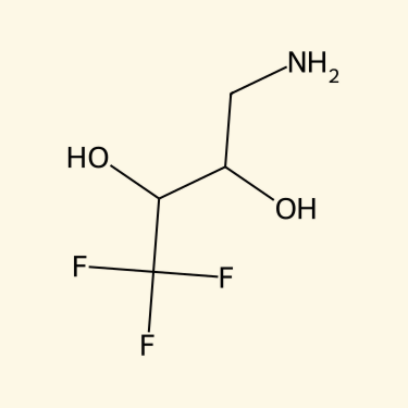 NCC(O)C(O)C(F)(F)F